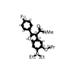 CCN(CC)c1cc2oc(-c3ccc(F)cc3)c(C(=O)NC)c2cc1OC(C)C